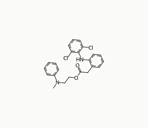 CN(CCOC(=O)Cc1ccccc1Nc1c(Cl)cccc1Cl)c1ccccc1